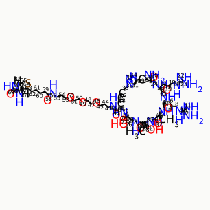 C[C@@H]1NC(=O)[C@H](CCCNC(=N)N)NC(=O)[C@H](CCCNC(=N)N)NC(=O)[C@@H](N)Cc2cn(nn2)CCCC[C@@H](C(=O)NCCCOCCOCCOCCCNC(=O)CCCCC2SC[C@H]3NC(=O)N[C@@H]23)NC(=O)[C@H](CO)NC(=O)[C@H]([C@@H](C)O)NC1=O